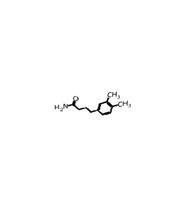 Cc1ccc(CCCC(N)=O)cc1C